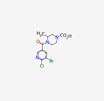 CC1CN(C(=O)O)CCN1C(=O)c1cnc(Cl)c(Br)c1